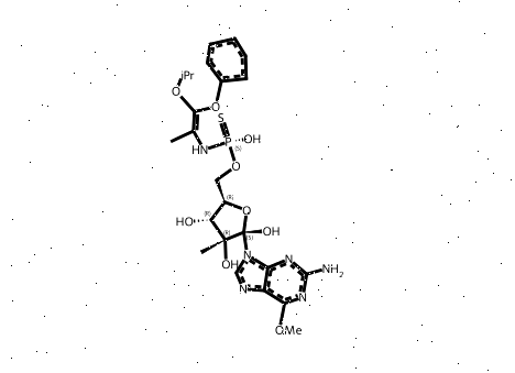 COc1nc(N)nc2c1ncn2[C@@]1(O)O[C@H](CO[P@](O)(=S)NC(C)=C(Oc2ccccc2)OC(C)C)[C@@H](O)[C@@]1(C)O